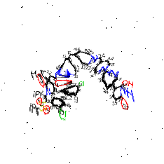 CC(C)[C@@H](CS(=O)(=O)C(C)C)N1C(=O)[C@@](C)(CC(=O)N2CCC(CC3CCN(CC4CCN(c5ccc(C6CCC(=O)NC6O)cn5)CC4)CC3)CC2)C[C@H](c2cccc(Cl)c2)[C@H]1c1ccc(Cl)cc1